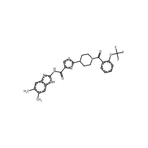 Cc1cc2nc(NC(=O)c3csc(C4CCN(C(=O)c5ccccc5OC(F)(F)F)CC4)n3)[nH]c2cc1C